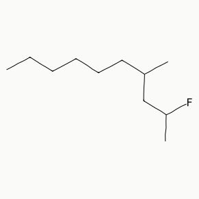 CCCCCCC(C)CC(C)F